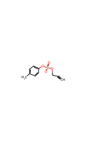 C#CCOS(=O)(=O)Oc1ccc(C)cc1